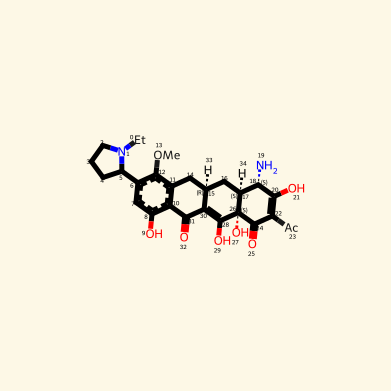 CCN1CCCC1c1cc(O)c2c(c1OC)C[C@H]1C[C@H]3[C@H](N)C(O)=C(C(C)=O)C(=O)[C@@]3(O)C(O)=C1C2=O